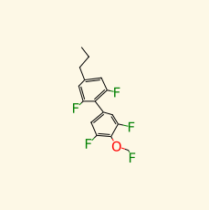 CCCc1cc(F)c(-c2cc(F)c(OCF)c(F)c2)c(F)c1